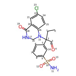 CCC(C=O)(c1cccc(S(N)(=O)=O)c1)N1CNC(=O)c2cc(Cl)ccc21